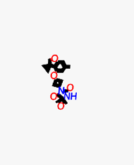 Cc1cc2c(c(OC3CC(N4C(=O)NC5(COC5)C4=O)C3)c1)C1(CC1)CO2